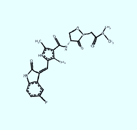 Cc1[nH]c(/C=C2\C(=O)Nc3ccc(F)cc32)c(C)c1C(=O)N[C@@H]1CON(CC(=O)N(C)C)C1=O